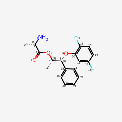 C[C@H](N)C(=O)O[C@@H](C)[C@H](Oc1cc(F)ccc1F)c1ccccc1